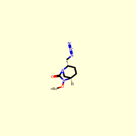 CCCCON1C(=O)N2C[C@H]1CC[C@H]2CN=[N+]=[N-]